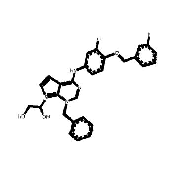 OCC(O)S1=C2C(=C(Nc3ccc(OCc4cccc(F)c4)c(Cl)c3)N=CN2Cc2ccccc2)C=C1